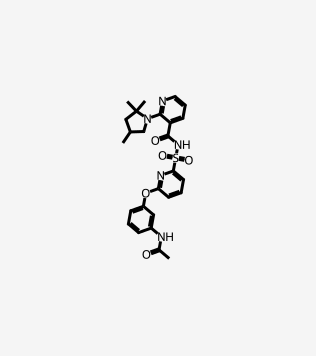 CC(=O)Nc1cccc(Oc2cccc(S(=O)(=O)NC(=O)c3cccnc3N3CC(C)CC3(C)C)n2)c1